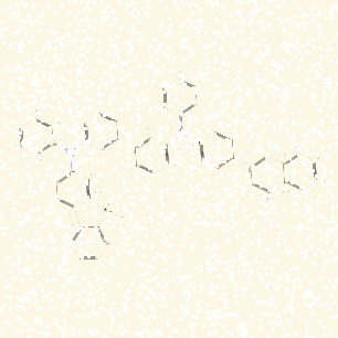 CC1(C)c2ccccc2-c2ccc(N(c3ccccc3)c3cccc(-c4cccc(N(c5ccccc5)c5ccc(-c6ccc7ccccc7c6)cc5)c4)c3)cc21